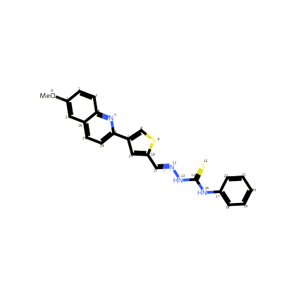 COc1ccc2nc(-c3csc(/C=N/NC(=S)Nc4ccccc4)c3)ccc2c1